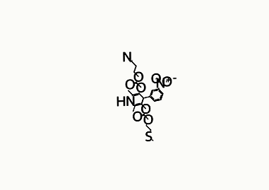 CSCCOC(=O)OC1=C(C)NC(C)=C(OC(=O)OCCC#N)C1c1cccc([N+](=O)[O-])c1